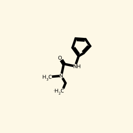 [CH2]CN(C)C(=O)Nc1ccccc1